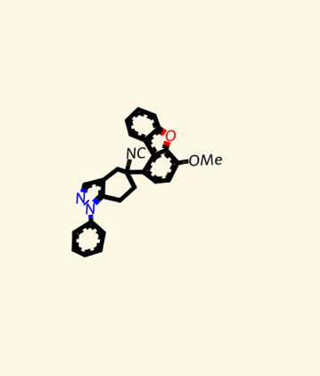 [C-]#[N+]C1(c2ccc(OC)c3oc4ccccc4c23)CCc2c(cnn2-c2ccccc2)C1